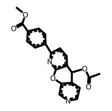 COC(=O)c1ccc(-c2ccc3c(n2)Oc2cnccc2C3OC(C)=O)cc1